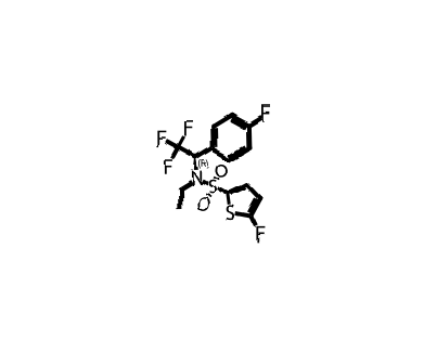 CCN([C@H](c1ccc(F)cc1)C(F)(F)F)S(=O)(=O)c1ccc(F)s1